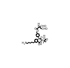 NCCCCCc1ccc2c(c1)C(=O)NCC(=O)N2c1ccc(COC(=O)C2NC2(C=O)CC=O)cc1.O=C(O)C(F)(F)F